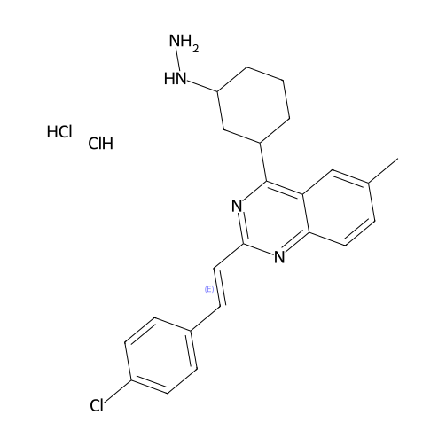 Cc1ccc2nc(/C=C/c3ccc(Cl)cc3)nc(C3CCCC(NN)C3)c2c1.Cl.Cl